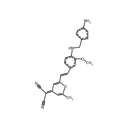 COc1cc(C=CC2=CC(=C(C#N)C#N)C=C(C)O2)ccc1NCc1ccc(N)cc1